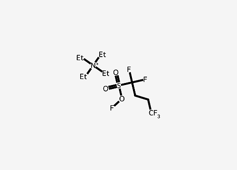 CC[N+](CC)(CC)CC.O=S(=O)(OF)C(F)(F)CCC(F)(F)F